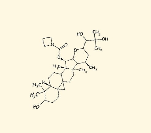 C[C@@H]1CC(C(O)C(C)(C)O)OC2C1C1(C)CCC34CC35CCC(O)C(C)(C)[C@@H]5CCC4[C@]1(C)[C@H]2OC(=O)N1CCC1